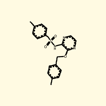 Cc1ccc(COc2nccnc2NS(=O)(=O)c2ccc(C)cc2)cc1